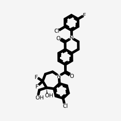 O=C1c2ccc(C(=O)N3CCC(F)(F)[C@](O)(CO)c4cc(Cl)ccc43)cc2CCN1c1cc(F)ccc1Cl